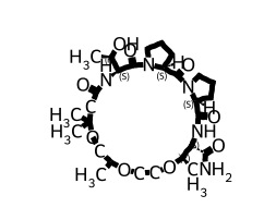 CC1COC(C)(C)CC(=O)N[C@@H]([C@@H](C)O)C(=O)N2CCC[C@H]2C(=O)N2CCC[C@H]2C(=O)N[C@H](C(N)=O)[C@@H](C)OCCO1